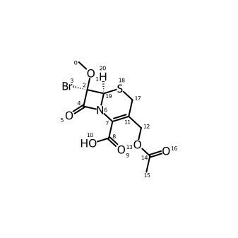 CO[C@]1(Br)C(=O)N2C(C(=O)O)=C(COC(C)=O)CS[C@@H]21